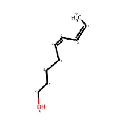 C/C=C\C=C/CCCCO